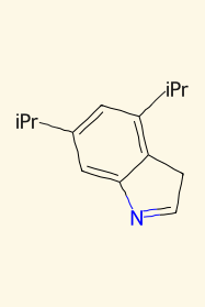 CC(C)c1cc2c(c(C(C)C)c1)CC=N2